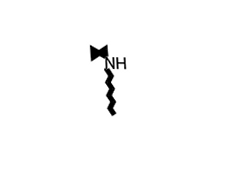 CCCCCCCCNC1CC12CC2